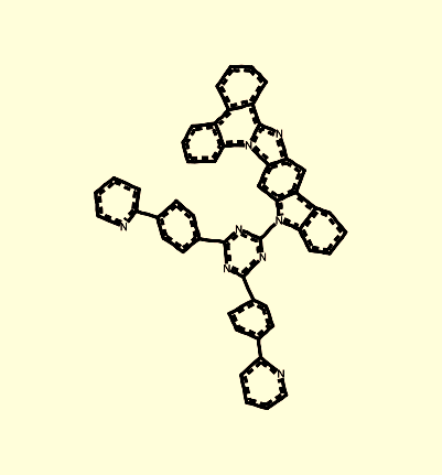 c1ccc(-c2ccc(-c3nc(-c4ccc(-c5ccccn5)cc4)nc(-n4c5ccccc5c5cc6nc7c8ccccc8c8ccccc8n7c6cc54)n3)cc2)nc1